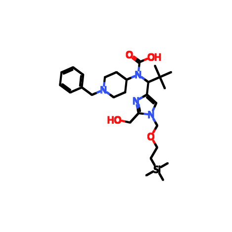 CC(C)(C)C(c1cn(COCC[Si](C)(C)C)c(CO)n1)N(C(=O)O)C1CCN(Cc2ccccc2)CC1